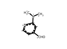 CN(C)c1cc(C=O)ccn1